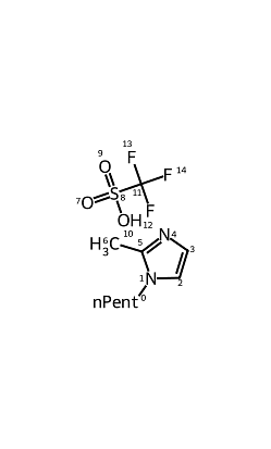 CCCCCn1ccnc1C.O=S(=O)(O)C(F)(F)F